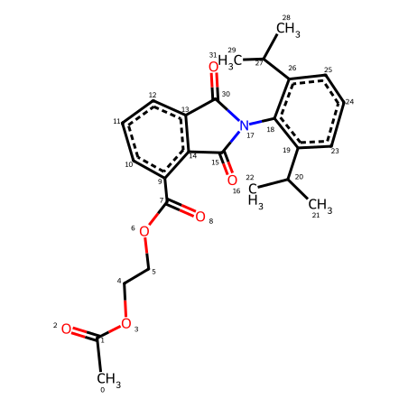 CC(=O)OCCOC(=O)c1cccc2c1C(=O)N(c1c(C(C)C)cccc1C(C)C)C2=O